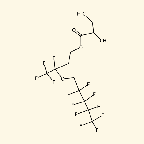 CCC(C)C(=O)OCCC(F)(OCC(F)(F)C(F)(F)C(F)(F)C(F)(F)F)C(F)(F)F